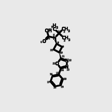 CC(C)(C)N(C(=O)O)[C@H]1C[C@H](c2nnc(-c3ccccc3)o2)C1